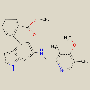 COC(=O)c1ccccc1-c1cc(NCc2ncc(C)c(OC)c2C)cc2[nH]ccc12